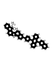 CC1(C)c2ccccc2-c2ccc3sc4c5ccc(-c6ccc(-c7c8ccccc8c(-c8ccc9ccccc9c8)c8ccccc78)cc6)cc5ccc4c3c21